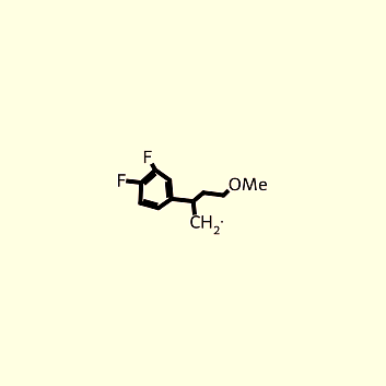 [CH2]C(CCOC)c1ccc(F)c(F)c1